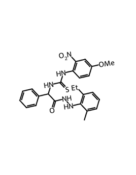 CCc1cccc(C)c1NNC(=O)C(NC(=S)Nc1ccc(OC)cc1[N+](=O)[O-])c1ccccc1